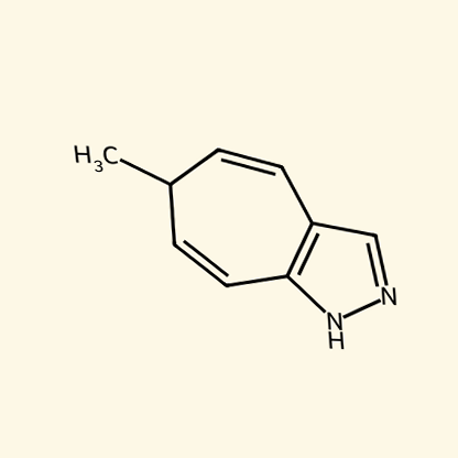 CC1C=Cc2cn[nH]c2C=C1